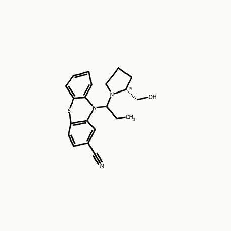 CCC(N1c2ccccc2Sc2ccc(C#N)cc21)N1CCC[C@@H]1CO